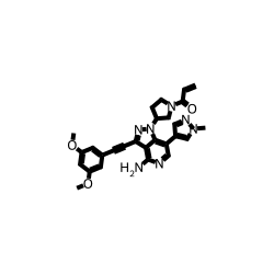 C=CC(=O)N1CCC(n2nc(C#Cc3cc(OC)cc(OC)c3)c3c(N)ncc(-c4cnn(C)c4)c32)C1